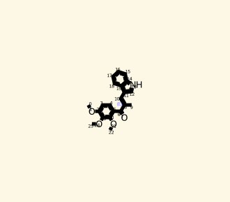 COc1ccc(C(=O)/C(C)=C/c2c[nH]c3ccccc23)c(OC)c1OC